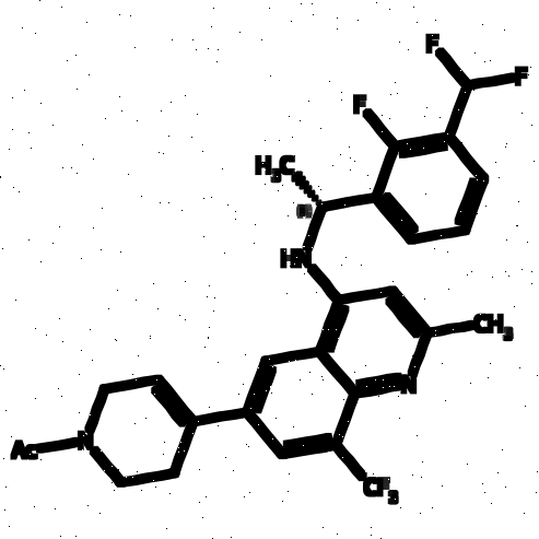 CC(=O)N1CC=C(c2cc(C(F)(F)F)c3nc(C)cc(N[C@H](C)c4cccc(C(F)F)c4F)c3c2)CC1